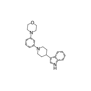 c1cc(N2CCOCC2)cc(N2CCC(c3c[nH]c4ccccc34)CC2)c1